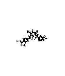 CCN1C(=O)C(=O)N(C(C)(C(=O)O)c2ccc3c(c2)OCO3)CC1NC(=O)c1ccc(C(=N)N)cc1